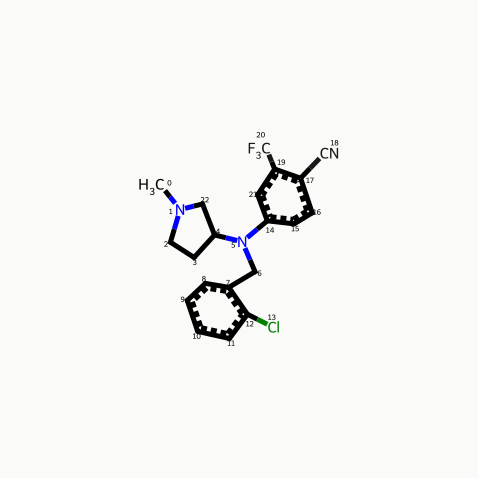 CN1CCC(N(Cc2ccccc2Cl)c2ccc(C#N)c(C(F)(F)F)c2)C1